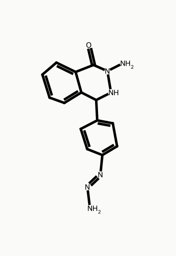 NN=Nc1ccc(C2NN(N)C(=O)c3ccccc32)cc1